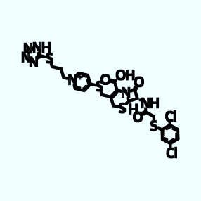 O=C(CSc1cc(Cl)ccc1Cl)N[C@H]1C(=O)N2C(C(=O)O)=C(CSc3cc[n+](CCCSc4nnn[nH]4)cc3)CS[C@H]12